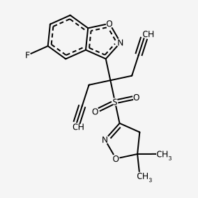 C#CCC(CC#C)(c1noc2ccc(F)cc12)S(=O)(=O)C1=NOC(C)(C)C1